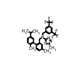 Cc1ccc(-c2cc(C(C)C)ccc2C)c(CN(Cc2cc(C(F)(F)F)cc(C(F)(F)F)c2)c2nnn(C)n2)c1